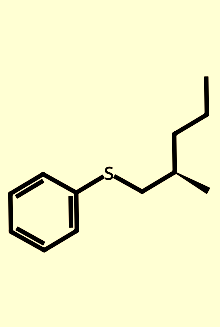 CCC[C@@H](C)CSc1ccccc1